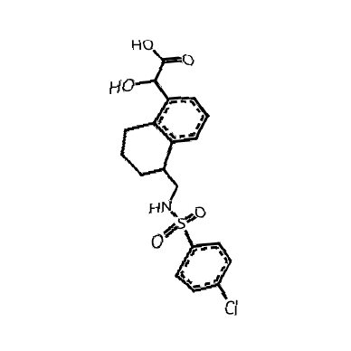 O=C(O)C(O)c1cccc2c1CCCC2CNS(=O)(=O)c1ccc(Cl)cc1